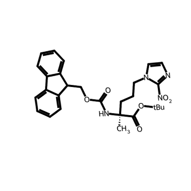 CC(C)(C)OC(=O)[C@](C)(CCCn1ccnc1[N+](=O)[O-])NC(=O)OCC1c2ccccc2-c2ccccc21